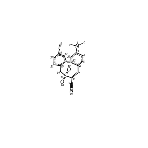 CN(C)c1ccc(/C=C(/C#N)S(=O)(=O)Cc2ccc(F)cc2)cc1